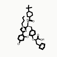 CCCCn1cc(-c2ccc(Cl)cc2Cl)nc1[C@H](Cc1ccc(OC(Cc2ccccc2)C(=O)O)cc1)NC(=O)C1CCC(C(C)(C)C)CC1